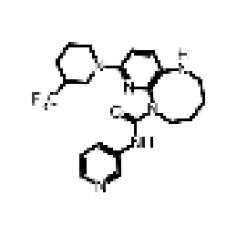 O=C(Nc1cccnc1)N1CCCCNc2ccc(N3CCCC(C(F)(F)F)C3)nc21